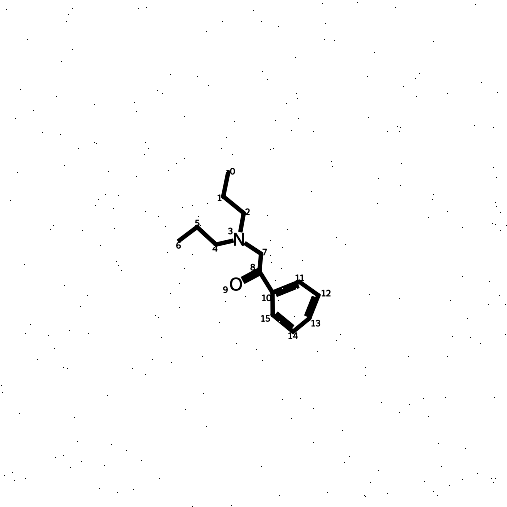 CCCN(CCC)CC(=O)c1ccccc1